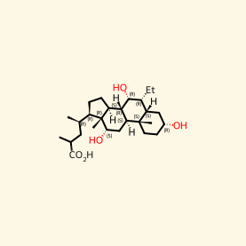 CC[C@H]1[C@@H](O)[C@@H]2[C@H](C[C@H](O)[C@]3(C)[C@@H]([C@H](C)CC(C)C(=O)O)CC[C@@H]23)[C@@]2(C)CC[C@@H](O)C[C@@H]12